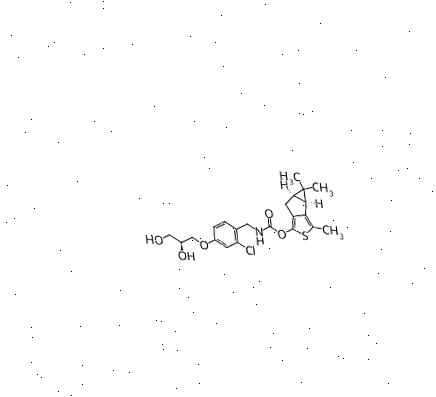 Cc1sc(OC(=O)NCc2ccc(OC[C@@H](O)CO)cc2Cl)c2c1[C@H]1[C@@H](C2)C1(C)C